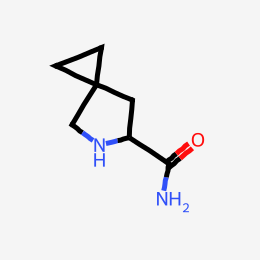 NC(=O)C1CC2(CC2)CN1